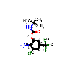 CC(C)(C)NC(=O)Oc1cc(C(F)(F)F)cc(Cl)c1N